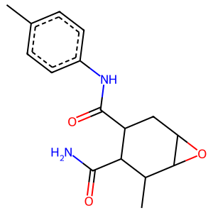 Cc1ccc(NC(=O)C2CC3OC3C(C)C2C(N)=O)cc1